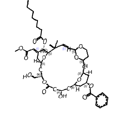 CCCCCCCC(=O)O[C@H]1/C(=C/C(=O)OC)C[C@H]2C[C@H](CO)OC(=O)C[C@H](O)C[C@@H]3C[C@H](OC(=O)c4ccccc4)C[C@H](C[C@@H]4CCO[C@H](/C=C/C(C)(C)[C@]1(O)O2)O4)O3